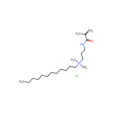 C=C(C)C(=O)NCCC[N+](C)(C)CCCCCCCCCCCC.[Cl-]